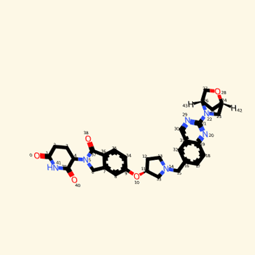 O=C1CCC(N2Cc3cc(O[C@H]4CCN(Cc5ccc6nc(N7C[C@@H]8C[C@H]7CO8)ncc6c5)C4)ccc3C2=O)C(=O)N1